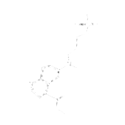 COC(=O)c1ccnc2ccc(N(C)CCCOS(C)(=O)=O)cc12